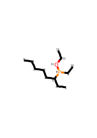 CCCCCC(CC)P(CC)OCC